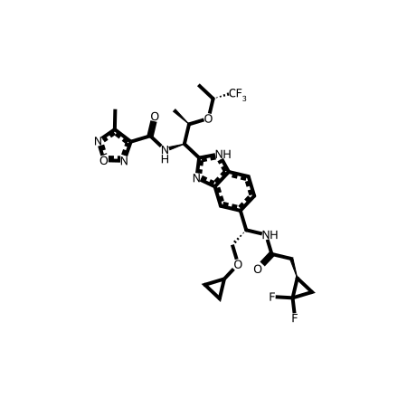 Cc1nonc1C(=O)N[C@H](c1nc2cc([C@@H](COC3CC3)NC(=O)C[C@H]3CC3(F)F)ccc2[nH]1)[C@@H](C)O[C@H](C)C(F)(F)F